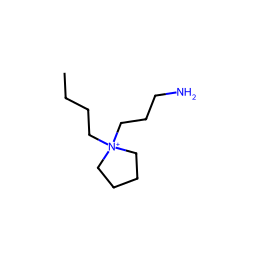 CCCC[N+]1(CCCN)CCCC1